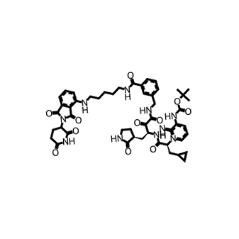 CC(C)(C)OC(=O)Nc1cccn([C@@H](CC2CC2)C(=O)N[C@@H](C[C@@H]2CCNC2=O)C(=O)C(=O)NCc2cccc(C(=O)NCCCCCNc3cccc4c3C(=O)N(C3CCC(=O)NC3=O)C4=O)c2)c1=N